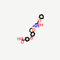 O=C(O)c1ccc(Oc2ccc3c(c2)CC[C@H](CNC[C@H](O)COc2ccccc2)O3)cc1